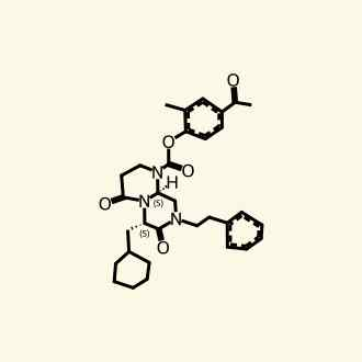 CC(=O)c1ccc(OC(=O)N2CCC(=O)N3[C@@H]2CN(CCc2ccccc2)C(=O)[C@@H]3CC2CCCCC2)c(C)c1